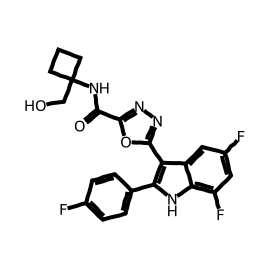 O=C(NC1(CO)CCC1)c1nnc(-c2c(-c3ccc(F)cc3)[nH]c3c(F)cc(F)cc23)o1